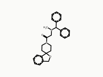 CN(CC(=O)N1CCC2(CC1)OCc1ccccc12)C(c1ccccc1)c1ccccc1